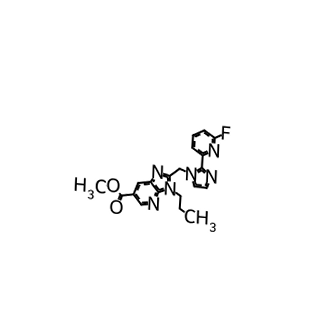 CCCn1c(Cn2ccnc2-c2cccc(F)n2)nc2cc(C(=O)OC)cnc21